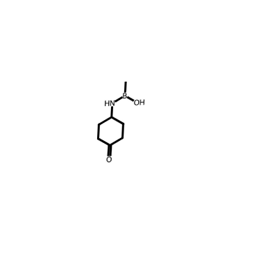 CB(O)NC1CCC(=O)CC1